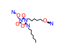 CCCCCCC/N=c1\oc(=O)n(COC#N)c(=O)n1CCCCCCOC#N